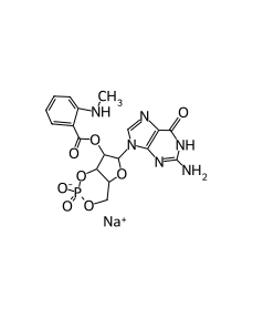 CNc1ccccc1C(=O)OC1C2OP(=O)([O-])OCC2OC1n1cnc2c(=O)[nH]c(N)nc21.[Na+]